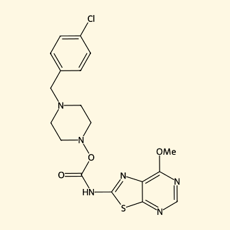 COc1ncnc2sc(NC(=O)ON3CCN(Cc4ccc(Cl)cc4)CC3)nc12